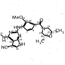 CCNc1nc(Nc2ccc(C(=O)N3C[C@@H](C)O[C@@H](C)C3)cc2OC)nc2[nH]cc(C#N)c12